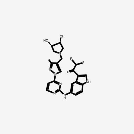 Cc1nn(-c2ccnc(Nc3ccc4[nH]cc(C(=O)C(F)F)c4c3)n2)cc1CN1C[C@@H](O)[C@@H](O)C1